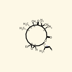 CC[C@@]12CCC[C@H](C)[C@H](C)[C@@H](C)C(=O)C(C)(C)[C@@H](C)CC(=O)O[C@H](/C(C)=C/I)C[C@@H]1O2